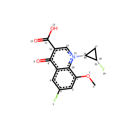 COc1[c]c(F)cc2c(=O)c(C(=O)O)cn([C@@H]3C[C@@H]3F)c12